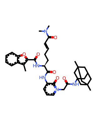 Cc1c(C(=O)N[C@@H](CC/C=C/C(=O)N(C)C)C(=O)Nc2cccn(CC(=O)NC34CC5CC(C)(CC(C)(C5)C3)C4)c2=O)oc2ccccc12